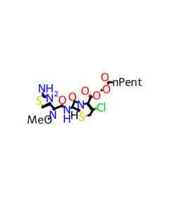 CCCCCC(=O)OCOC(=O)C1=C(Cl)CS[C@H]2C(NC(=O)C(=NOC)c3csc(N)n3)C(=O)N12